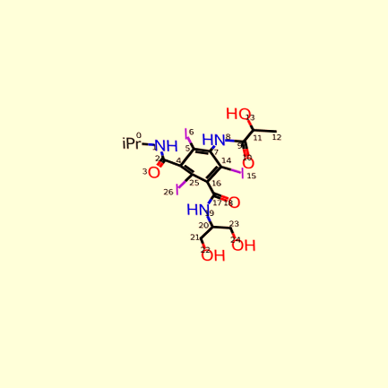 CC(C)NC(=O)c1c(I)c(NC(=O)C(C)O)c(I)c(C(=O)NC(CO)CO)c1I